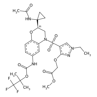 CCn1cc(S(=O)(=O)N2C[C@H](C3(NC(C)=O)CC3)Oc3ccc(NC(=O)OC(C)(C)C(F)(F)F)cc32)c(OCC(=O)OC)n1